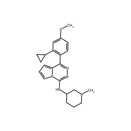 COc1ccc(-c2nnc(NC3CCCN(C)C3)n3cccc23)c(C2CC2)c1